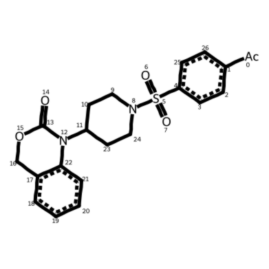 CC(=O)c1ccc(S(=O)(=O)N2CCC(N3C(=O)OCc4ccccc43)CC2)cc1